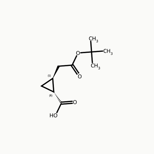 CC(C)(C)OC(=O)C[C@@H]1C[C@H]1C(=O)O